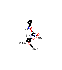 CCN(CCc1ccccc1)C(=O)OC[C@H]1CC(N(C(=O)c2ccc(OC)c(OCCCOC)c2)C(C)C)CN(C(=O)OC(C)(C)C)C1